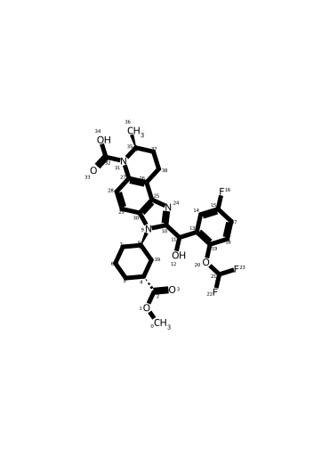 COC(=O)[C@@H]1CCC[C@@H](n2c(C(O)c3cc(F)ccc3OC(F)F)nc3c4c(ccc32)N(C(=O)O)[C@@H](C)CC4)C1